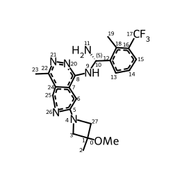 COC1(C)CN(c2cc3c(N[C@H](N)c4cccc(C(F)(F)F)c4C)nnc(C)c3cn2)C1